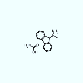 CN(N)C1c2ccccc2-c2ccccc21.NC(=O)O